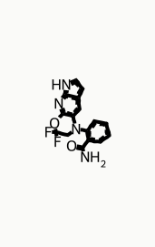 NC(=O)c1ccccc1N1CC(F)(F)Oc2nc3[nH]ccc3cc21